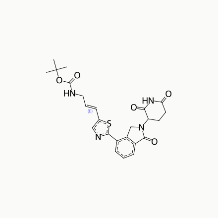 CC(C)(C)OC(=O)NC/C=C/c1cnc(-c2cccc3c2CN(C2CCC(=O)NC2=O)C3=O)s1